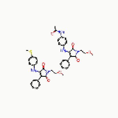 COCCN1C(=O)C(Nc2ccc(NC(C)=O)cc2)=C(c2ccccc2)C1=O.COCCN1C(=O)C(Nc2ccc(SC)cc2)=C(c2ccccc2)C1=O